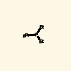 CCCP(CC)CC